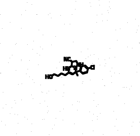 CC1(c2ccc(Cl)cc2)C=C(CCCCO)NC2C(C#N)CNN21